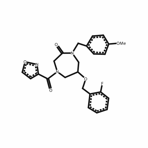 COc1ccc(CN2CC(OCc3ccccc3F)CN(C(=O)c3ccon3)CC2=O)cc1